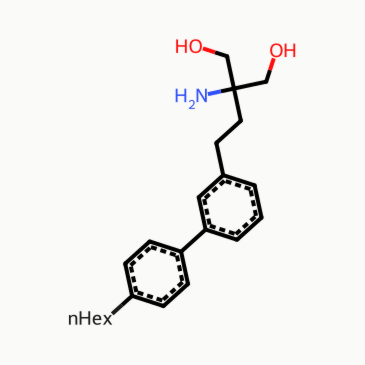 CCCCCCc1ccc(-c2cccc(CCC(N)(CO)CO)c2)cc1